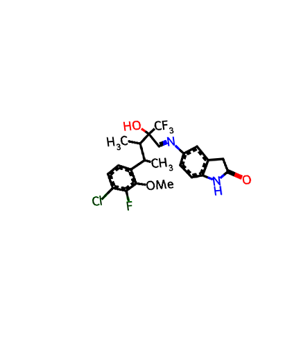 COc1c(C(C)C(C)C(O)(/C=N/c2ccc3c(c2)CC(=O)N3)C(F)(F)F)ccc(Cl)c1F